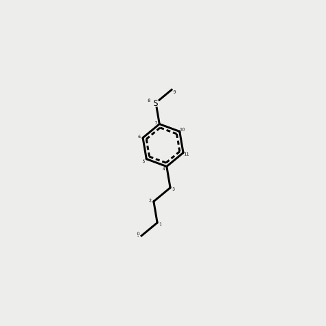 [CH2]CCCc1ccc(SC)cc1